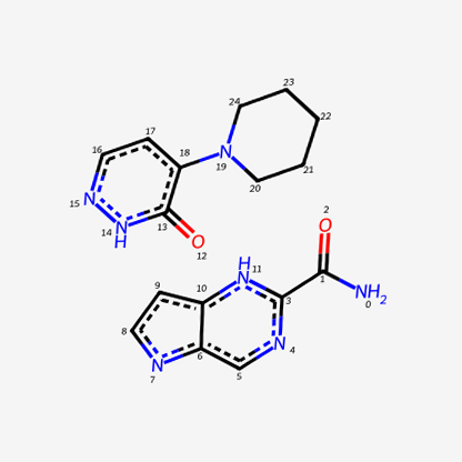 NC(=O)c1ncc2nccc-2[nH]1.O=c1[nH]nccc1N1CCCCC1